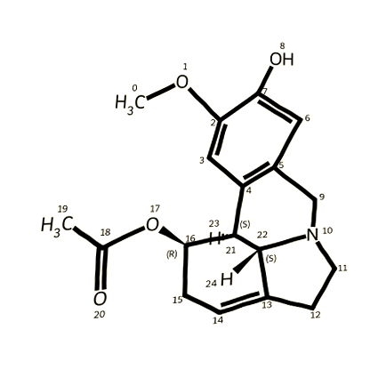 COc1cc2c(cc1O)CN1CCC3=CC[C@@H](OC(C)=O)[C@@H]2[C@@H]31